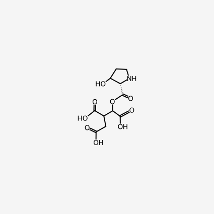 O=C(O)CC(C(=O)O)C(OC(=O)[C@H]1NCCC1O)C(=O)O